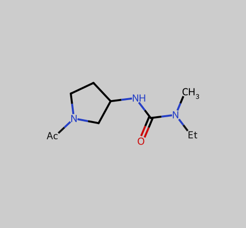 [CH2]CN(C)C(=O)NC1CCN(C(C)=O)C1